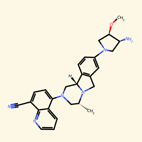 CO[C@@H]1CN(c2ccc3c(c2)CN2[C@H](C)CN(c4ccc(C#N)c5ncccc45)C[C@H]32)C[C@@H]1N